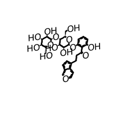 O=C(CCc1ccc2coccc1-2)c1c(O)cccc1O[C@@H]1O[C@H](CO)[C@@H](O[C@@H]2O[C@H](CO)[C@@H](O)[C@H](O)[C@H]2O)[C@H](O)[C@H]1O